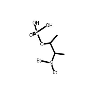 CCN(CC)C(C)C(C)OP(=O)(O)O